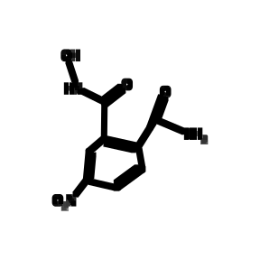 NC(=O)c1ccc([N+](=O)[O-])cc1C(=O)NO